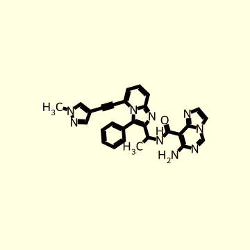 CC(NC(=O)c1c(N)ncn2ccnc12)c1nc2cccc(C#Cc3cnn(C)c3)n2c1-c1ccccc1